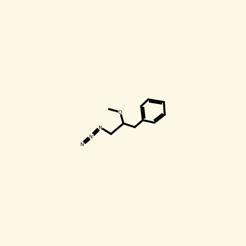 COC(CN=[N+]=[N-])Cc1ccccc1